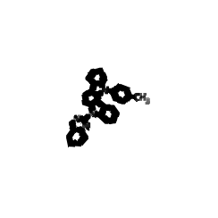 Cc1ccc(-n2c3ccccc3c3ccc4c(c5ccccc5n4-c4ncc5ccccc5n4)c32)cc1